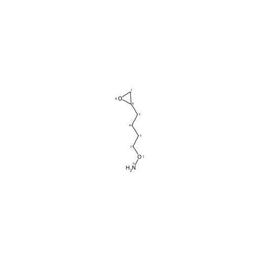 NOCCCCC1CO1